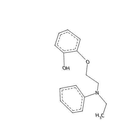 CCN(CCOc1ccccc1O)c1ccccc1